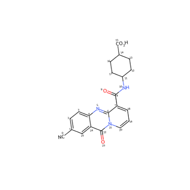 N#Cc1ccc2nc3c(C(=O)NC4CCC(C(=O)O)CC4)cccn3c(=O)c2c1